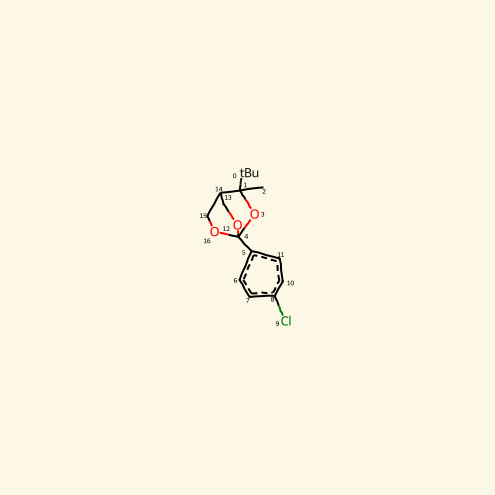 CC(C)(C)C1(C)OC2(c3ccc(Cl)cc3)OCC1CO2